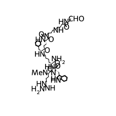 CN[C@@H](CCCNC(=N)N)C(=O)N[C@@H](Cc1c[nH]c2ccccc12)C(=O)N[C@@H](CCCCN[C@@H](Cc1ccccc1)C(=O)CC[C@@H]1NC(=O)N(CCCNCCCC(=O)NCC=O)C1=O)C(N)=O